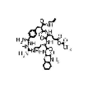 C=CCNC(=O)C(Cc1ccc(C(=N)N)cc1)C(=O)N[C@@H](CCC(=O)OC(=O)C(F)(F)F)C(=O)N[C@@H](CCCNC(=N)N)C(=O)N[C@@H](CC1CCCCC1)C(N)=O